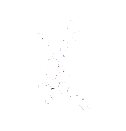 CC(C)(C)OC(=O)C1[C@@H](C(=O)[C@H](Cc2c[nH]cn2)NC(=O)[C@@H](N)Cc2ccccc2)[C@@H](CN)CC[N+]1(C)C(=O)N(C(=O)CC(O)C(N)CC1CCCCC1)C(=O)[C@@H](N)CCCCN